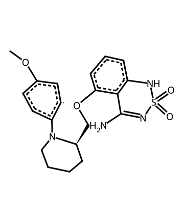 COc1c[c]c(N2CCCC[C@@H]2COc2cccc3c2C(N)=NS(=O)(=O)N3)cc1